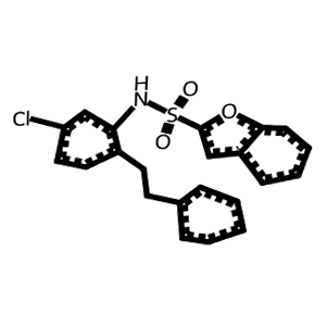 O=S(=O)(Nc1cc(Cl)ccc1CCc1ccccc1)c1cc2ccccc2o1